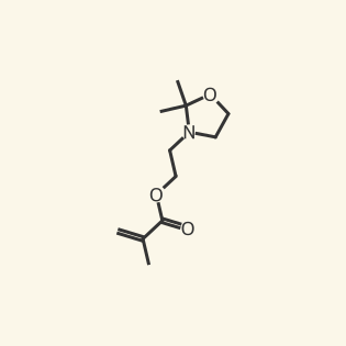 C=C(C)C(=O)OCCN1CCOC1(C)C